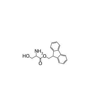 NC(CO)C(=O)OCC1c2ccccc2-c2ccccc21